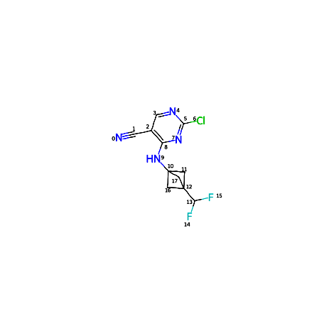 N#Cc1cnc(Cl)nc1NC12CC(C(F)F)(C1)C2